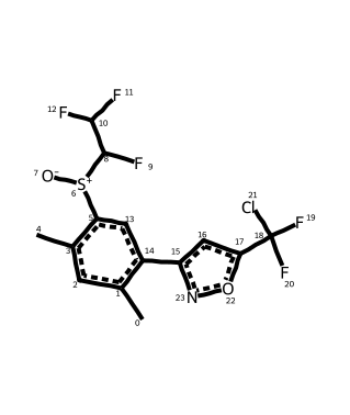 Cc1cc(C)c([S+]([O-])C(F)C(F)F)cc1-c1cc(C(F)(F)Cl)on1